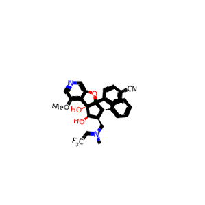 COc1cncc2c1[C@]1(O)[C@H](O)[C@H](CN(C)CC(F)(F)F)[C@@H](c3ccccc3)C1(c1ccc(C#N)cc1)O2